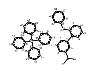 CC(C)c1cccc(-c2ccccc2[I+]c2ccccc2)c1.c1ccc([B-](c2ccccc2)(c2ccccc2)c2ccccc2)cc1